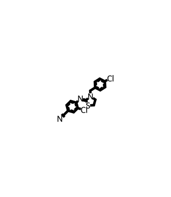 N#Cc1ccc(/N=C2\SCCN2Cc2ccc(Cl)cc2)c(Cl)c1